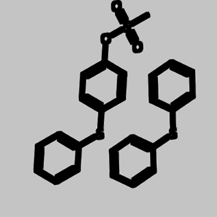 CS(=O)(=O)Oc1ccc(Sc2ccccc2)cc1.c1ccc(Sc2ccccc2)cc1